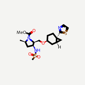 COC(=O)N1[C@H](C)C[C@H](NS(C)(=O)=O)[C@@H]1CO[C@H]1CC[C@@]2(c3nccs3)C[C@H]2C1